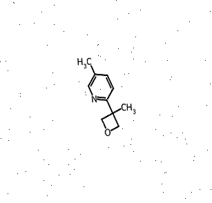 Cc1ccc(C2(C)COC2)nc1